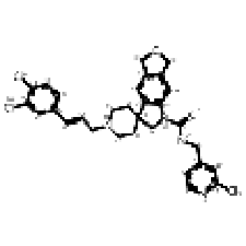 O=C(NCc1ccnc(Cl)c1)N1CC2(CCN(CC=Cc3ccc(Cl)c(Cl)c3)CC2)c2cc3c(cc21)COC3